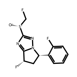 [O-][S@+](CF)c1nc2n(n1)[C@H](c1ccccc1F)C[C@@H]2F